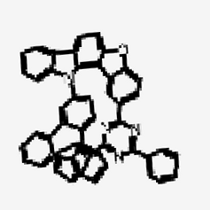 c1ccc(-c2nc(-c3ccccc3)nc(-c3ccc4oc5ccc6c7ccccc7n(-c7ccc8c9ccccc9c9ccccc9c8c7)c6c5c4c3)n2)cc1